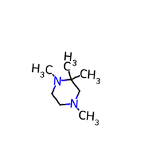 CN1CCN(C)C(C)(C)C1